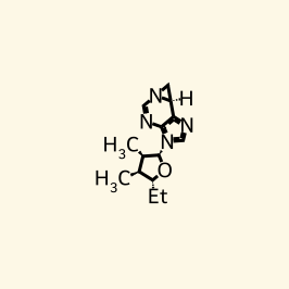 CC[C@H]1O[C@@H](n2cnc3c2N=CN2C[C@@H]32)[C@H](C)[C@@H]1C